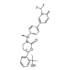 C=C1C=CC(c2ccc([C@H](C)N3CC[C@](CC(C)(C)O)(c4ccccc4)OC3=O)cc2)=CN1C(F)F